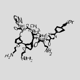 Cc1nc(-c2ccc(C#CC(C)C)cc2)ncc1C(=O)N[C@@H](CCN)C(=O)N(C)[C@@H]1C(=O)N[C@@H](C)C(=O)N[C@H](C(=O)NCC#N)Cc2ccc(OCCN)c(c2)-c2cc1ccc2OCCN